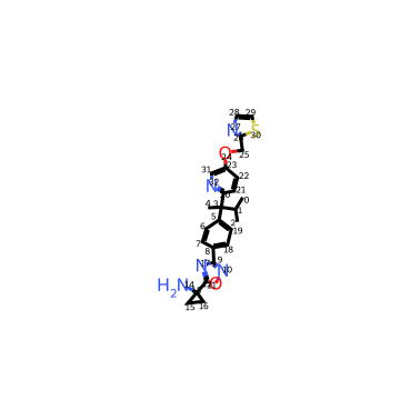 CC(C)C(C)(c1ccc(-c2noc(C3(N)CC3)n2)cc1)c1ccc(OCc2nccs2)cn1